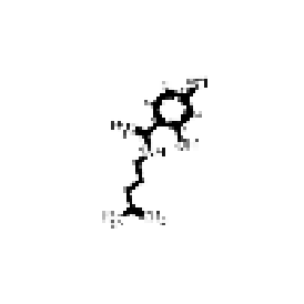 C=C(C)CCCNC(=C)c1ccc(Cl)cc1O